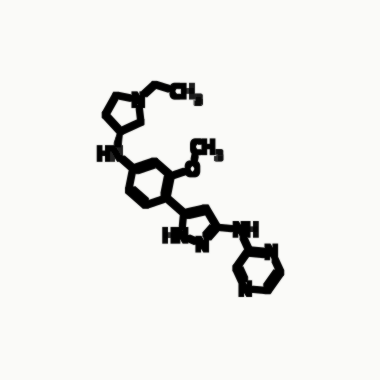 CCN1CC[C@H](Nc2ccc(-c3cc(Nc4cnccn4)n[nH]3)c(OC)c2)C1